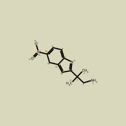 CC(C)(CN)C1=NC2=CC=C([N+](=O)[O-])CC2=C1